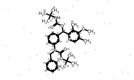 COc1c(C)cnc(C(OC(=O)NC(C)(C)C)c2cccc(N(Cc3ccccc3)C(=O)OC(C)(C)C)c2)c1C